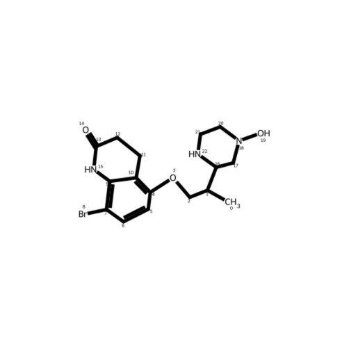 CC(COc1ccc(Br)c2c1CCC(=O)N2)C1CN(O)CCN1